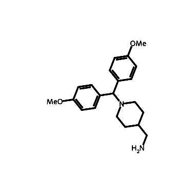 COc1ccc(C(c2ccc(OC)cc2)N2CCC(CN)CC2)cc1